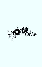 [C-]#[N+]c1ccc(N(CC(=O)OC)CC(F)(F)F)cc1C(F)(F)F